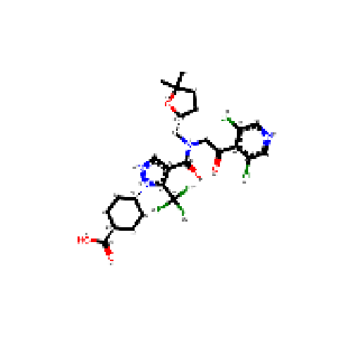 CC1(C)CC[C@H](CN(CC(=O)c2c(Cl)cncc2Cl)C(=O)c2cnn([C@H]3CC[C@H](C(=O)O)CC3)c2C(F)(F)F)O1